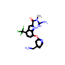 CN(C(=N)N)C(=O)c1cc2c(C(F)(F)F)ccc(Oc3cc(CN)ccn3)c2[nH]1